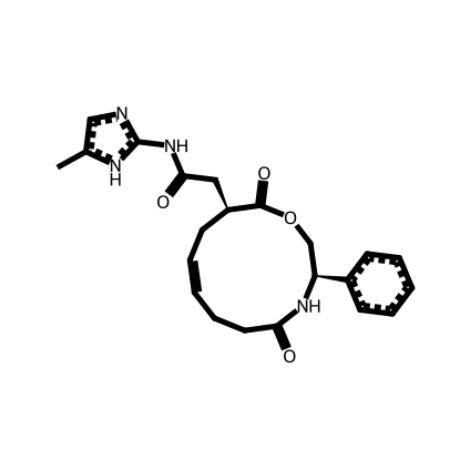 Cc1cnc(NC(=O)C[C@@H]2CC=CCCC(=O)N[C@H](c3ccccc3)COC2=O)[nH]1